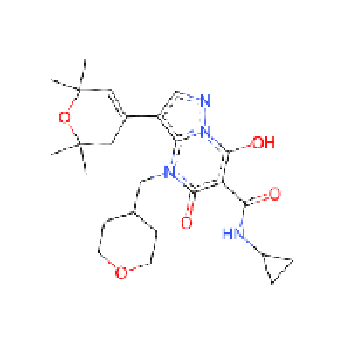 CC1(C)C=C(c2cnn3c(O)c(C(=O)NC4CC4)c(=O)n(CC4CCOCC4)c23)CC(C)(C)O1